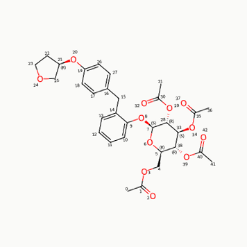 CC(=O)OC[C@H]1O[C@@H](Oc2ccccc2Cc2ccc(O[C@@H]3CCOC3)cc2)[C@H](OC(C)=O)[C@@H](OC(C)=O)[C@@H]1OC(C)=O